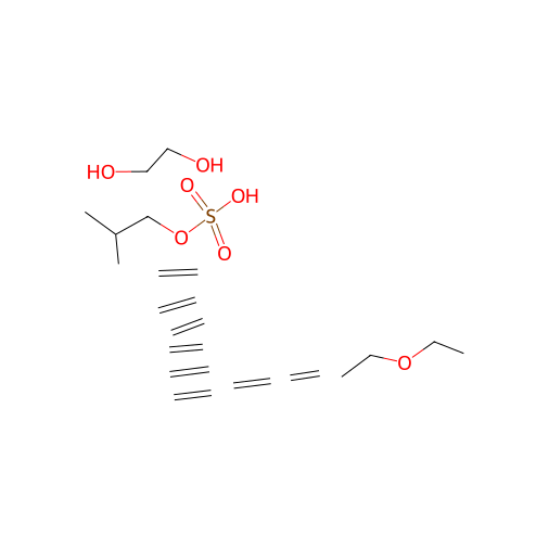 C=C.C=C.C=C.C=C.C=C.C=C.C=C.C=C.CC(C)COS(=O)(=O)O.CCOCC.OCCO